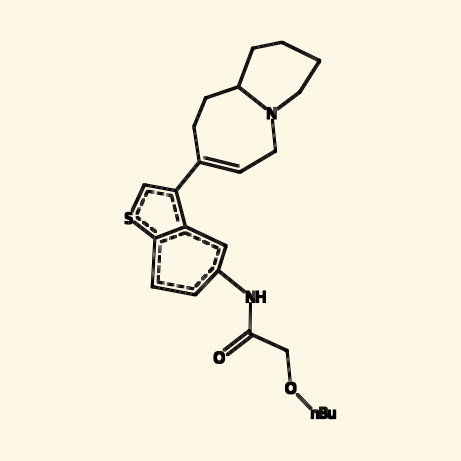 CCCCOCC(=O)Nc1ccc2scc(C3=CCN4CCCCC4CC3)c2c1